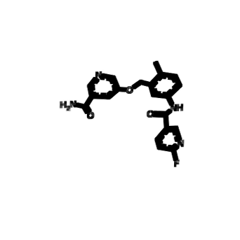 Cc1ccc(NC(=O)c2ccc(F)nc2)cc1COc1cncc(C(N)=O)c1